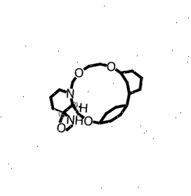 C1CC2CC(C1)C1CCC(CC1)OC[C@@H]1N(CCC[C@@]13COCCN3)COCCO2